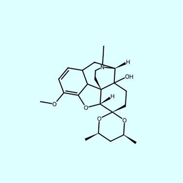 COC1=C2O[C@H]3[C@@]4(CCC5(O)[C@H]6CC(C=C1)C2[C@@]35CCN6C)O[C@H](C)C[C@H](C)O4